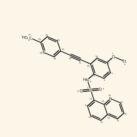 CCOc1ccc(NS(=O)(=O)c2cccc3cccnc23)c(C#Cc2ccc(C(=O)O)nc2)c1